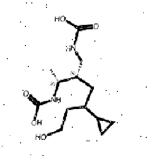 C[C@@H](NC(=O)O)[C@H](CNC(=O)O)CC(CCO)C1CC1